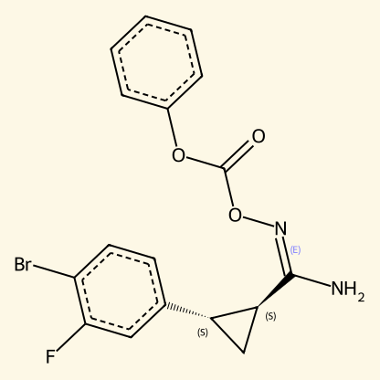 N/C(=N/OC(=O)Oc1ccccc1)[C@H]1C[C@@H]1c1ccc(Br)c(F)c1